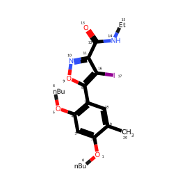 CCCCOc1cc(OCCCC)c(-c2onc(C(=O)NCC)c2I)cc1C